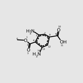 COC(=O)c1c(N)cc(C(=O)O)cc1N